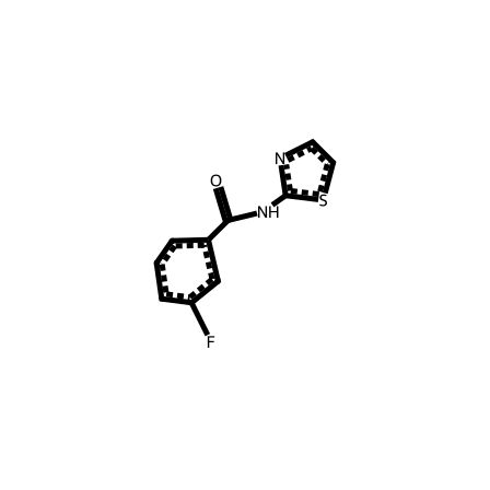 O=C(Nc1nccs1)c1cccc(F)c1